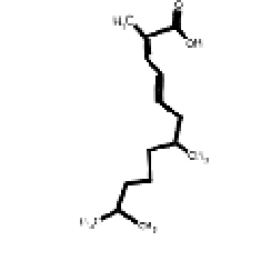 CC(=CC=CCC(C)CCCC(C)C)C(=O)O